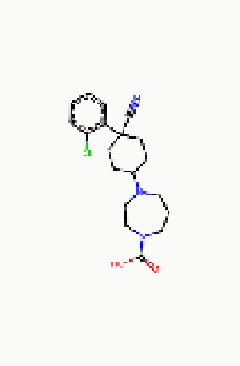 N#CC1(c2ccccc2Cl)CCC(N2CCCN(C(=O)O)CC2)CC1